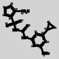 COc1nc(NC(=O)NS(=O)(=O)c2ccsc2C(=O)O)nc(C2CC2)n1